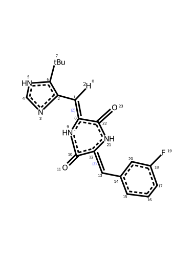 [2H]/C(c1nc[nH]c1C(C)(C)C)=c1/[nH]c(=O)/c(=C/c2cccc(F)c2)[nH]c1=O